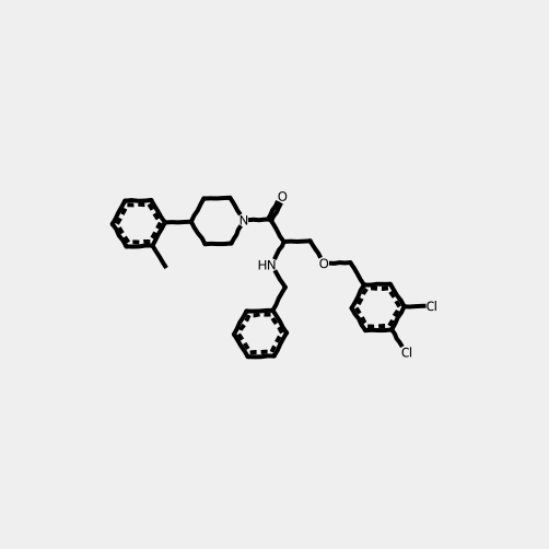 Cc1ccccc1C1CCN(C(=O)C(COCc2ccc(Cl)c(Cl)c2)NCc2ccccc2)CC1